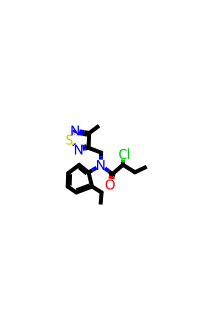 CCc1ccccc1N(Cc1nsnc1C)C(=O)C(Cl)CC